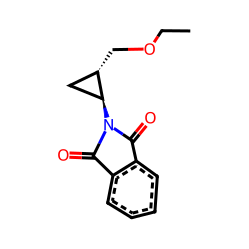 CCOC[C@H]1C[C@@H]1N1C(=O)c2ccccc2C1=O